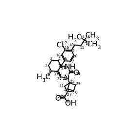 CC1CCC[C@]2(c3ccc(CCC(C)(C)C)c(Cl)c3)NC(=O)N(C34CC(C3)C(C(=O)O)C4)C=C12